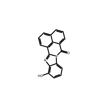 O=c1c2cccc3cccc(c32)c2nc3c(O)cccc3n12